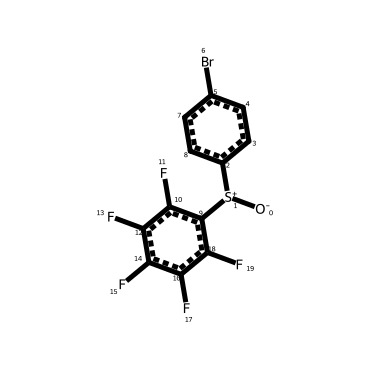 [O-][S+](c1ccc(Br)cc1)c1c(F)c(F)c(F)c(F)c1F